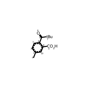 Cc1ccc(C(=O)C(C)(C)C)c(C(=O)O)c1